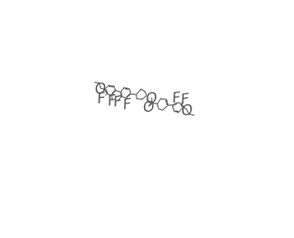 CCOc1ccc(C2=CCC(C(=O)OC3CCC(c4ccc(-c5ccc(OCC)c(F)c5F)c(F)c4F)CC3)CC2)c(F)c1F